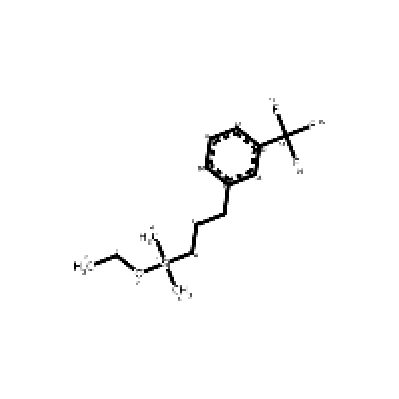 CCO[Si](C)(C)CCCc1cccc(C(F)(F)F)c1